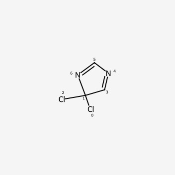 ClC1(Cl)C=NC=N1